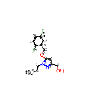 CC(C)(C)CCn1nc(CO)cc1OCc1cc(F)ccc1F